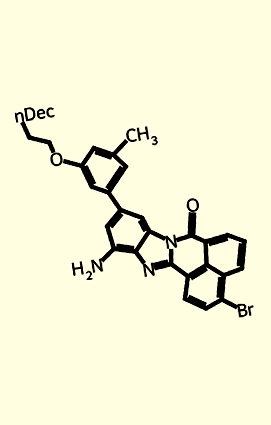 CCCCCCCCCCCCOc1cc(C)cc(-c2cc(N)c3nc4c5ccc(Br)c6cccc(c(=O)n4c3c2)c65)c1